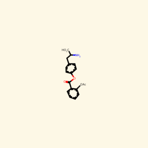 CC(=O)Oc1ccccc1C(=O)Oc1ccc(CC(N)C(=O)O)cc1